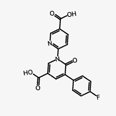 O=C(O)c1ccc(-n2cc(C(=O)O)cc(-c3ccc(F)cc3)c2=O)nc1